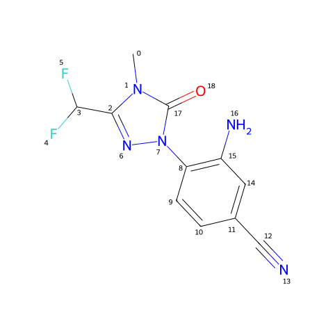 Cn1c(C(F)F)nn(-c2ccc(C#N)cc2N)c1=O